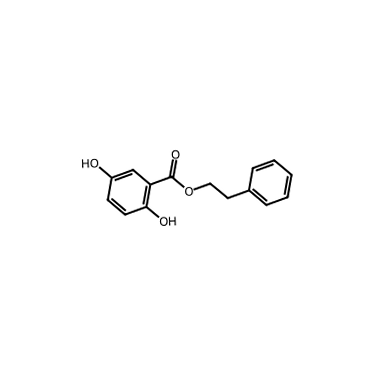 O=C(OCCc1ccccc1)c1cc(O)ccc1O